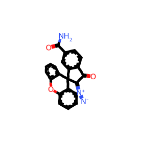 [N-]=[N+]=C1C(=O)c2ccc(C(N)=O)cc2C12c1ccccc1Oc1ccccc12